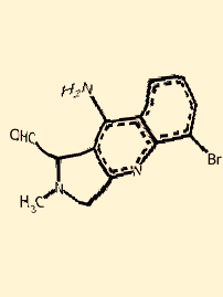 CN1Cc2nc3c(Br)cccc3c(N)c2C1C=O